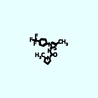 Cc1cn(-c2ccc(C(F)(F)F)cc2)c(=NC(=O)N2CCC[C@@H]2C)s1